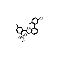 COS(=O)(=O)c1ccc(C)cc1C1Cc2cccc(-c3cc(Cl)ccc3C)c2O1